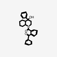 O=C(c1ccccc1)c1ccccc1C(=O)N1CCC(O)(c2ccccc2)C2CCCCC21